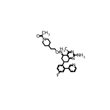 CC(=O)N1CCC(CCO/N=C2\CC(c3ccc(F)cc3-c3cccnc3)Cc3nc(N)nc(C)c32)CC1